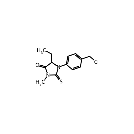 CCC1C(=O)N(C)C(=S)N1c1ccc(CCl)cc1